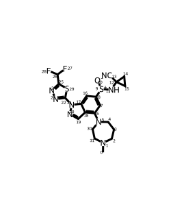 CN1CCCN(c2cc([S+]([O-])NC3(C#N)CC3)cc3c2cnn3-c2nnc(C(F)F)s2)CC1